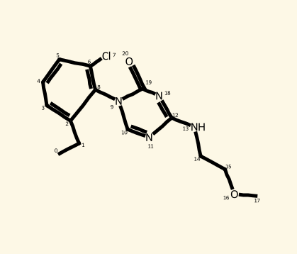 CCc1cccc(Cl)c1-n1cnc(NCCOC)nc1=O